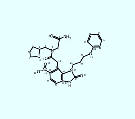 NC(=O)CN(CC1CCCO1)C(=O)Cc1c([N+](=O)[O-])ccc2[nH]c(=O)n(CCCOc3ccccc3)c12